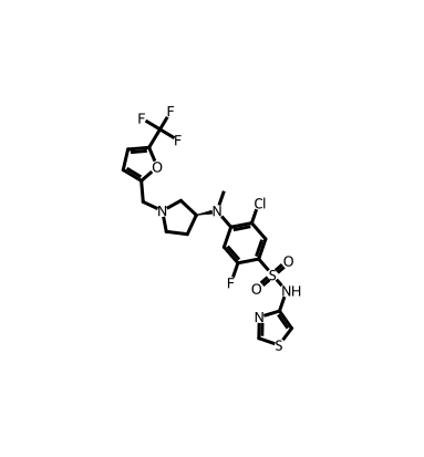 CN(c1cc(F)c(S(=O)(=O)Nc2cscn2)cc1Cl)[C@H]1CCN(Cc2ccc(C(F)(F)F)o2)C1